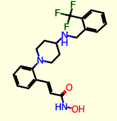 O=C(C=Cc1ccccc1N1CCC(NCc2ccccc2C(F)(F)F)CC1)NO